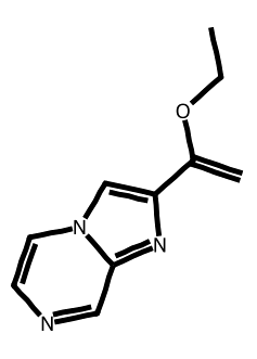 C=C(OCC)c1cn2ccncc2n1